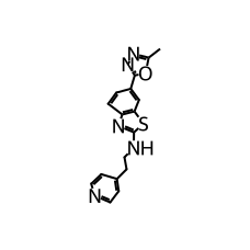 Cc1nnc(-c2ccc3nc(NCCc4ccncc4)sc3c2)o1